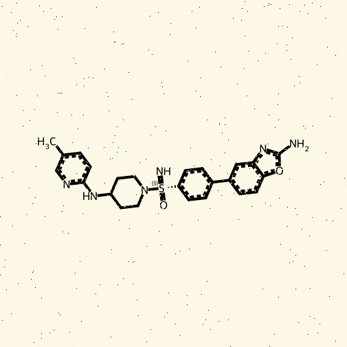 Cc1ccc(NC2CCN([S@@](=N)(=O)c3ccc(-c4ccc5oc(N)nc5c4)cc3)CC2)nc1